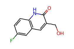 O=c1[nH]c2ccc(F)cc2cc1CO